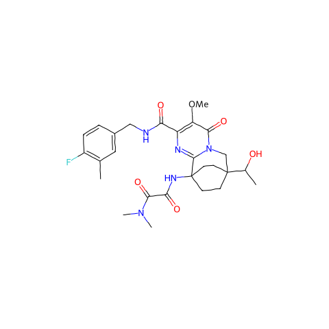 COc1c(C(=O)NCc2ccc(F)c(C)c2)nc2n(c1=O)CC1(C(C)O)CCC2(NC(=O)C(=O)N(C)C)CC1